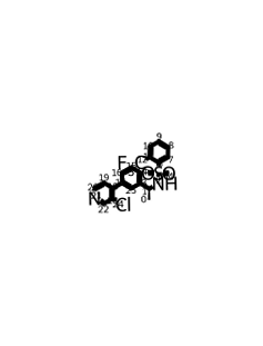 C[C@H](NS(=O)(=O)c1ccccc1C(F)(F)F)c1cccc(-c2ccncc2Cl)c1